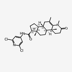 CC1=C2N(C)C(=O)CC[C@]2(C)[C@H]2CC[C@]3(C)[C@@H](C(=O)Nc4cc(Cl)nc(Cl)c4)CC[C@H]3[C@@H]2C1